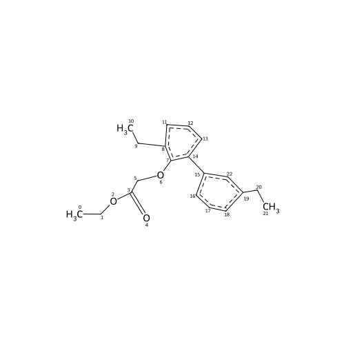 CCOC(=O)COc1c(CC)cccc1-c1cccc(CC)c1